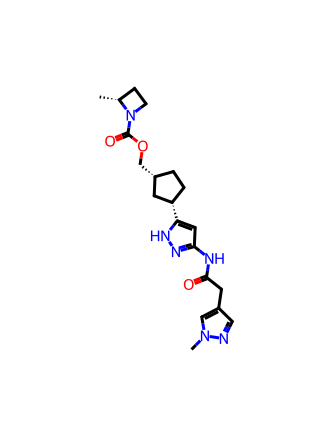 C[C@@H]1CCN1C(=O)OC[C@@H]1CC[C@H](c2cc(NC(=O)Cc3cnn(C)c3)n[nH]2)C1